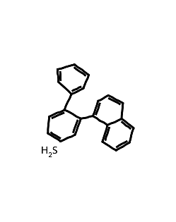 S.c1ccc(-c2ccccc2-c2cccc3ccccc23)cc1